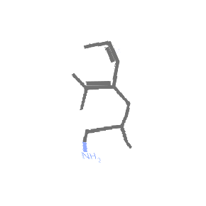 C/C=C\C(CC(C)CN)=C(C)C